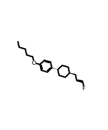 CCCCCOc1ccc([C@H]2CC[C@H](CC=CF)CC2)cc1